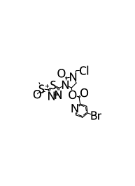 C[S+]([O-])c1nnc(N2C(=O)N(CCl)CC2OC(=O)c2cc(Br)ccn2)s1